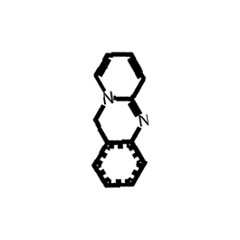 C1=CC2=Nc3ccccc3CN2C=C1